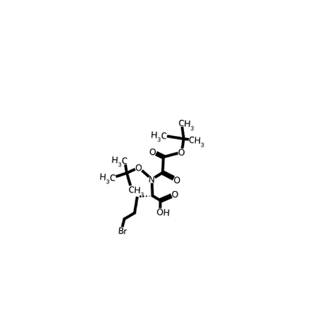 CC(C)(C)OC(=O)C(=O)N(OC(C)(C)C)[C@@H](CCCBr)C(=O)O